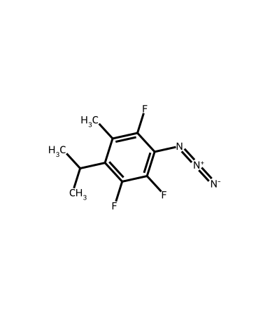 Cc1c(F)c(N=[N+]=[N-])c(F)c(F)c1C(C)C